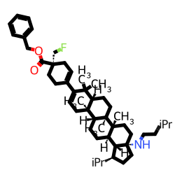 CC(C)CCN[C@]12CC[C@@H](C(C)C)[C@@H]1[C@H]1CC[C@@H]3[C@@]4(C)CC=C(C5=CC[C@](CF)(C(=O)OCc6ccccc6)CC5)C(C)(C)[C@@H]4CC[C@@]3(C)[C@]1(C)CC2